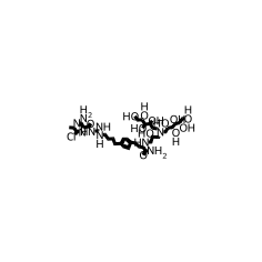 Cc1nc(N)c(C(=O)NC(=N)NCCCCc2ccc(CCC(NCCCN(CC(O)C(O)C(O)C(O)CO)CC(O)C(O)C(O)C(O)CO)C(N)=O)cc2)nc1Cl